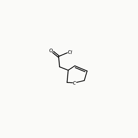 O=C(Cl)CC1C=CCCC1